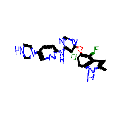 Cc1cc2c(F)c(Oc3ncnc(Nc4ccc(N5CCNCC5)cn4)c3Cl)ccc2[nH]1